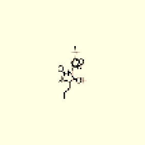 C=CCC1C(O)N(c2cc(C(C)(C)C)on2)C(=O)N1C